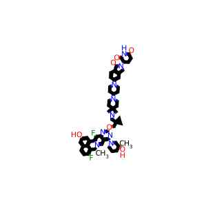 CCc1c(F)ccc2cc(O)cc(-c3ncc4c(N5CCC[C@@](C)(O)C5)nc(OCC5(CN6CC7(CCN(C8CCN(c9ccc%10c(c9)CN(C9CCC(=O)NC9=O)C%10=O)CC8)CC7)C6)CC5)nc4c3F)c12